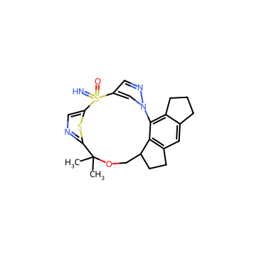 CC1(C)OCC2CCc3cc4c(c(c32)-n2cc(cn2)S(=N)(=O)c2cnc1s2)CCC4